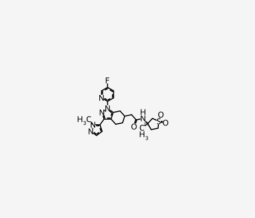 Cn1nccc1-c1nn(-c2ccc(F)cn2)c2c1CCC(CC(=O)N[C@@]1(C)CCS(=O)(=O)C1)C2